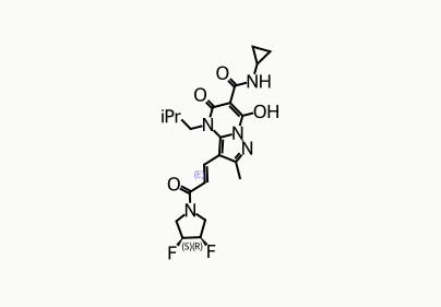 Cc1nn2c(O)c(C(=O)NC3CC3)c(=O)n(CC(C)C)c2c1/C=C/C(=O)N1C[C@@H](F)[C@@H](F)C1